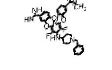 Cn1ccnc1-c1cccc(Oc2nc(Oc3cc(C(=N)N)ccc3O)c(F)c(NC3CCN(Cc4ccccc4)CC3)c2F)c1